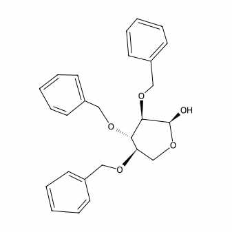 O[C@H]1OC[C@@H](OCc2ccccc2)[C@H](OCc2ccccc2)[C@H]1OCc1ccccc1